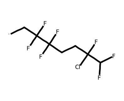 [CH2]CC(F)(F)C(F)(F)CCC(F)(Cl)[C](F)F